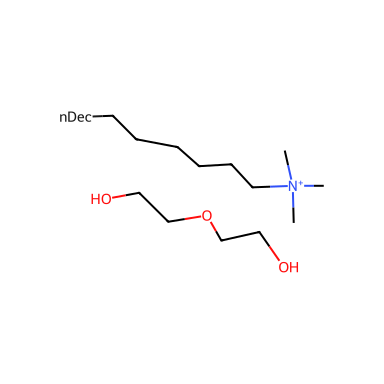 CCCCCCCCCCCCCCCC[N+](C)(C)C.OCCOCCO